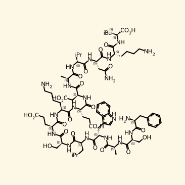 CC[C@H](C)[C@H](NC(=O)[C@H](CCCCN)NC(=O)[C@H](CC(N)=O)NC(=O)[C@@H](NC(=O)[C@H](C)NC(=O)[C@H](CC(=O)O)NC(=O)[C@H](CCC(=O)O)NC(=O)[C@H](CCCCN)NC(=O)[C@H](CCC(=O)O)NC(=O)[C@H](CO)NC(=O)[C@H](CC(C)C)NC(=O)[C@H](Cc1c[nH]c2ccccc12)NC(=O)[C@H](C)NC(=O)[C@H](CO)NC(=O)[C@@H](N)Cc1ccccc1)C(C)C)C(=O)O